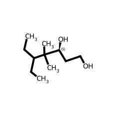 CCC(CC)C(C)(C)[C@@H](O)CCO